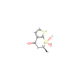 C[C@H]1CC(=O)c2ccsc2S1(=O)=O